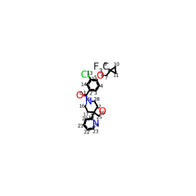 O=C(c1ccc(OCC2(C(F)(F)F)CC2)c(Cl)c1)N1CCC2(c3ccccn3)COC2C1